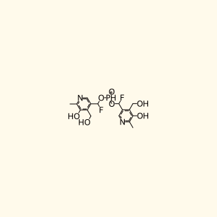 Cc1ncc(C(F)O[PH](=O)OC(F)c2cnc(C)c(O)c2CO)c(CO)c1O